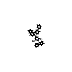 C=C(CC(C#N)/C(=C/C#N)n1c2ccccc2c2ccccc21)n1c2ccc(-c3ccccc3)cc2c2c3ccccc3ccc21